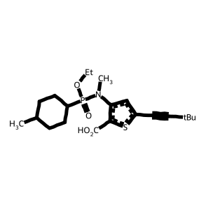 CCOP(=O)(C1CCC(C)CC1)N(C)c1cc(C#CC(C)(C)C)sc1C(=O)O